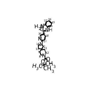 CC(C)(C)OC(=O)N1CCC2(CC1)CCN(c1ccc(C(=O)Nc3ccccc3N)cn1)C2